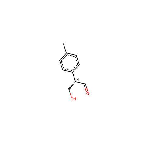 Cc1ccc([C@@H](C=O)CO)cc1